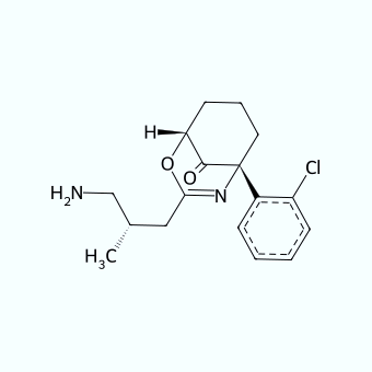 C[C@H](CN)CC1=N[C@@]2(c3ccccc3Cl)CCC[C@@H](O1)C2=O